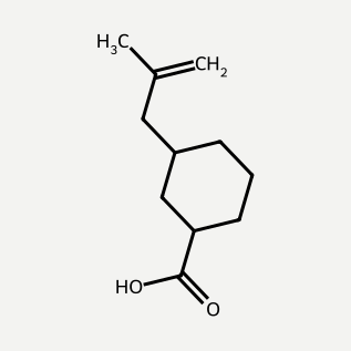 C=C(C)CC1CCCC(C(=O)O)C1